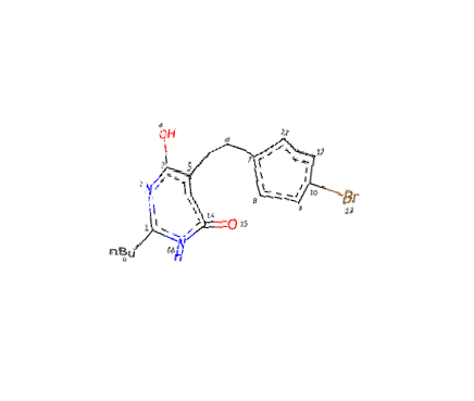 CCCCc1nc(O)c(Cc2ccc(Br)cc2)c(=O)[nH]1